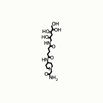 NC(=O)CN1CCC(NC(=O)CCCC(=O)NC[C@H](O)C[C@H](O)[C@H](O)CO)CC1